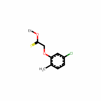 CCOC(=S)COc1cc(Cl)ccc1C